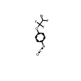 O=C=Nc1ccc(OC(F)(F)C(F)Br)cc1